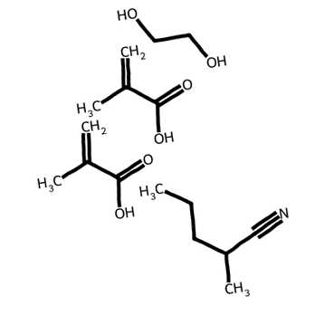 C=C(C)C(=O)O.C=C(C)C(=O)O.CCCC(C)C#N.OCCO